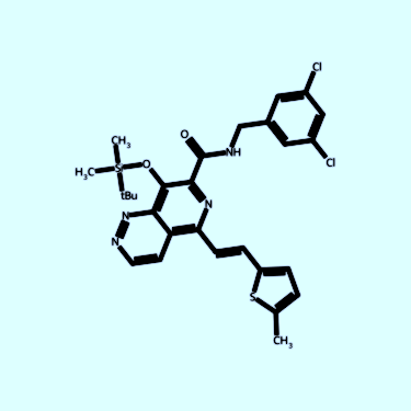 Cc1ccc(C=Cc2nc(C(=O)NCc3cc(Cl)cc(Cl)c3)c(O[Si](C)(C)C(C)(C)C)c3nnccc23)s1